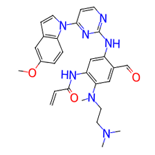 C=CC(=O)Nc1cc(Nc2nccc(-n3ccc4cc(OC)ccc43)n2)c(C=O)cc1N(C)CCN(C)C